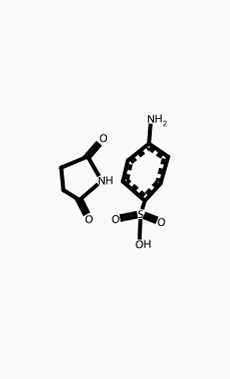 Nc1ccc(S(=O)(=O)O)cc1.O=C1CCC(=O)N1